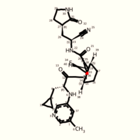 Cc1cncc(N[C@H](CC2CC2)C(=O)N2[C@H]3CC[C@@H]([C@H]2C(=O)N[C@H](C#N)C[C@H]2CCNC2=O)C(F)(F)C3)c1